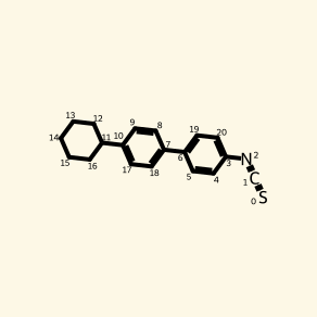 S=C=Nc1ccc(-c2ccc(C3CCCCC3)cc2)cc1